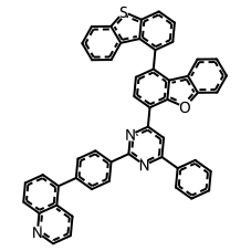 c1ccc(-c2cc(-c3ccc(-c4cccc5sc6ccccc6c45)c4c3oc3ccccc34)nc(-c3ccc(-c4cccc5ncccc45)cc3)n2)cc1